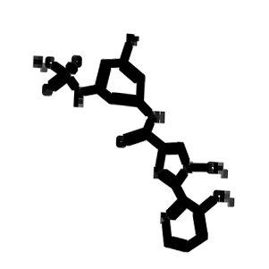 Cc1cccnc1-c1nc(C(=O)Nc2cc(Br)cc(NS(C)(=O)=O)c2)cn1C